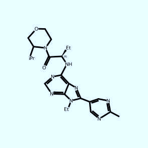 CC[C@@H](Nc1ncnc2c1nc(-c1cnc(C)nc1)n2CC)C(=O)N1CCOCC1C(C)C